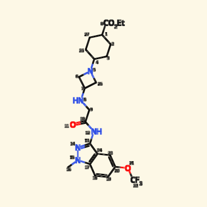 CCOC(=O)C1CCC(N2CC(NCC(=O)Nc3nn(C)c4ccc(OC(F)(F)F)cc34)C2)CC1